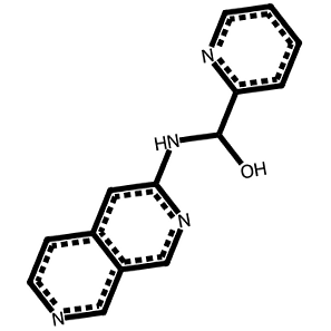 OC(Nc1cc2ccncc2cn1)c1ccccn1